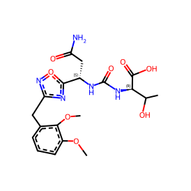 COc1cccc(Cc2noc([C@H](CC(N)=O)NC(=O)N[C@@H](C(=O)O)C(C)O)n2)c1OC